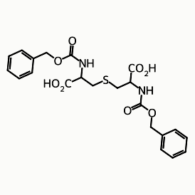 O=C(NC(CSCC(NC(=O)OCc1ccccc1)C(=O)O)C(=O)O)OCc1ccccc1